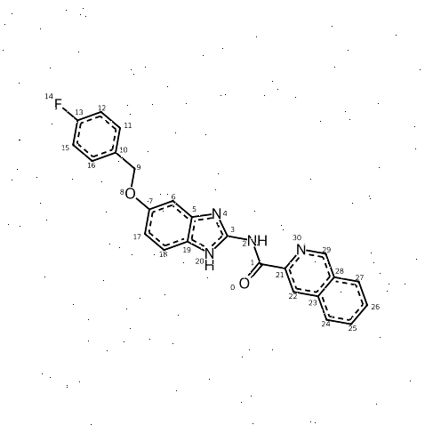 O=C(Nc1nc2cc(OCc3ccc(F)cc3)ccc2[nH]1)c1cc2ccccc2cn1